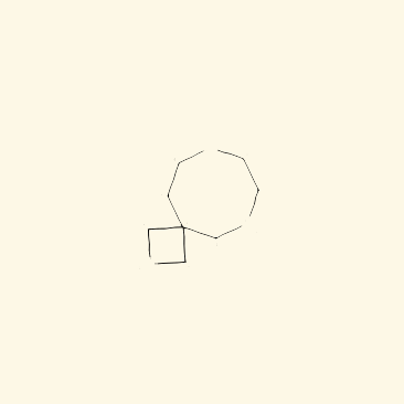 C1CSCC2(CCO1)COC2